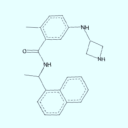 Cc1ccc(NC2CNC2)cc1C(=O)NC(C)c1cccc2ccccc12